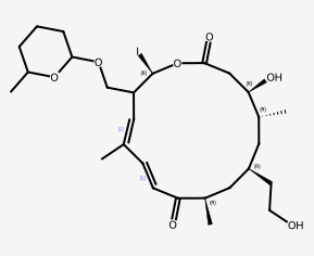 CC1=C\C(COC2CCCC(C)O2)[C@@H](I)OC(=O)C[C@@H](O)[C@H](C)C[C@@H](CCO)C[C@@H](C)C(=O)\C=C\1